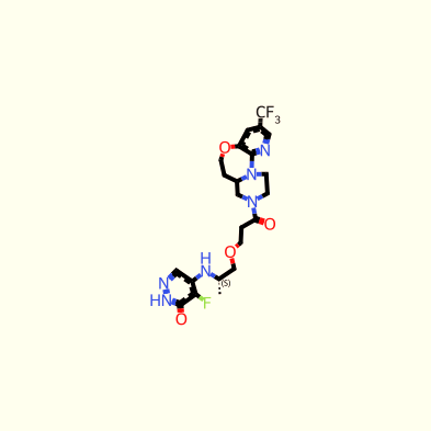 C[C@@H](COCCC(=O)N1CCN2c3ncc(C(F)(F)F)cc3OCCC2C1)Nc1cn[nH]c(=O)c1F